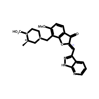 COc1ccc2c(c1CN1CCN(C(=O)O)[C@H](C)C1)O/C(=C\c1n[nH]c3ncccc13)C2=O